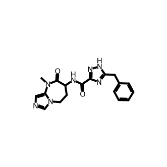 CN1C(=O)C(NC(=O)c2n[nH]c(Cc3ccccc3)n2)CCn2cncc21